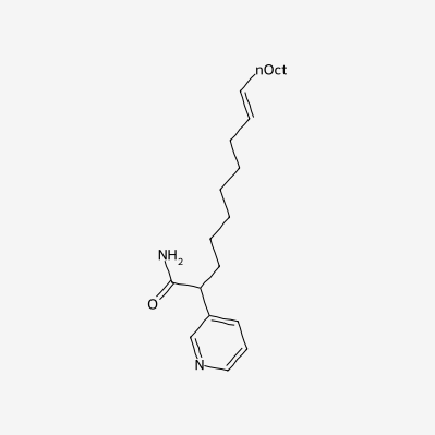 CCCCCCCCC=CCCCCCCC(C(N)=O)c1cccnc1